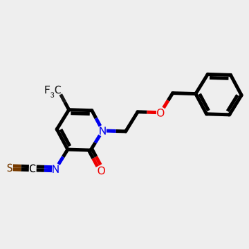 O=c1c(N=C=S)cc(C(F)(F)F)cn1CCOCc1ccccc1